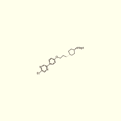 CCCCCCC[C@H]1CC[C@H](CCCOc2ccc(-c3cnc(CC)cn3)cc2)CC1